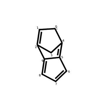 [C]1C=C2CC1=C1C=CC=C21